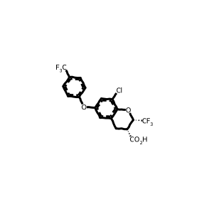 O=C(O)[C@@H]1Cc2cc(Oc3ccc(C(F)(F)F)cc3)cc(Cl)c2O[C@@H]1C(F)(F)F